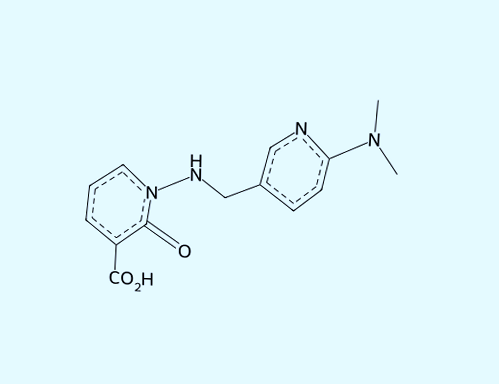 CN(C)c1ccc(CNn2cccc(C(=O)O)c2=O)cn1